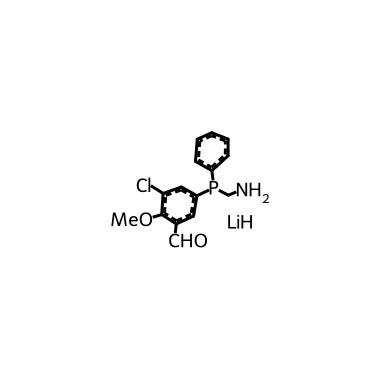 COc1c(Cl)cc(P(CN)c2ccccc2)cc1C=O.[LiH]